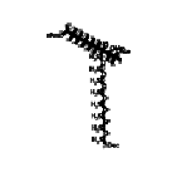 CCCCCCCCCC[SiH2]O[SiH2]O[SiH2]O[SiH2]O[SiH2]O[SiH2]O[SiH2]O[SiH2]C(O)(C(C)(C)C(C)(C)C(C)(C)C(C)(C)C(C)(C)C(C)CCCCC)C(C)(OC)C(C)(C)OC